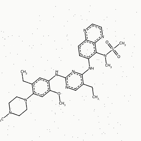 CCc1cc(Nc2ncc(CC)c(Nc3ccc4nccnc4c3N(C)S(C)(=O)=O)n2)c(OC)cc1N1CCN(C)CC1